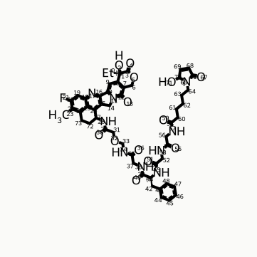 CC[C@@]1(O)C(=O)OCc2c1cc1n(c2=O)Cc2c-1nc1cc(F)c(C)c3c1c2C(NC(=O)COCNC(=O)CNC(=O)[C@H](Cc1ccccc1)NC(=O)CNC(=O)CNC(=O)CCCCCN1C(=O)C=CC1O)CC3